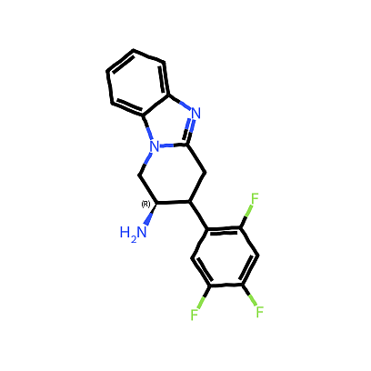 N[C@H]1Cn2c(nc3ccccc32)CC1c1cc(F)c(F)cc1F